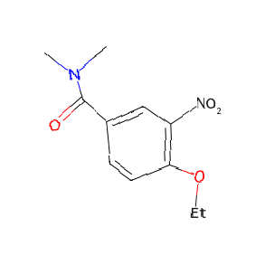 CCOc1ccc(C(=O)N(C)C)cc1[N+](=O)[O-]